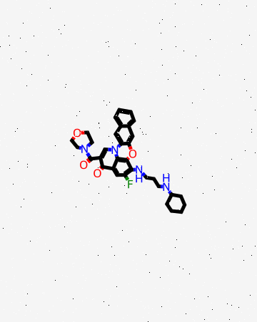 O=C(c1cn2c3c(c(NCCCNC4CCCCC4)c(F)cc3c1=O)Oc1cc3ccccc3cc1-2)N1CCOCC1